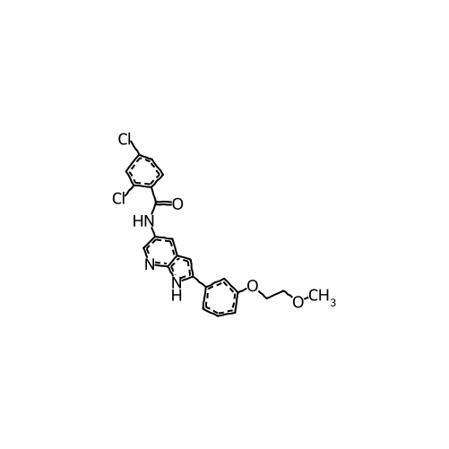 COCCOc1cccc(-c2cc3cc(NC(=O)c4ccc(Cl)cc4Cl)cnc3[nH]2)c1